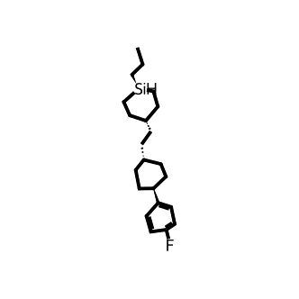 CCC[Si@H]1CC[C@H](CC[C@H]2CC[C@H](c3ccc(F)cc3)CC2)CC1